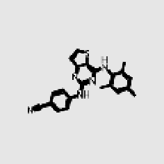 Cc1cc(C)c(Nc2nc(Nc3ccc(C#N)cc3)nc3ccsc23)c(C)c1